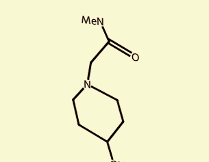 CNC(=O)CN1CCC(O)CC1